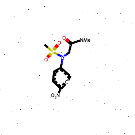 CNC(=O)CN(c1ccc([N+](=O)[O-])cc1)S(C)(=O)=O